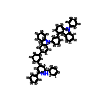 C1=CCC(C2C=C(C3=CC(C4C=Cc5c(c6c(n5-c5cccc(-c7cccc8c7c7ccccc7n8-c7ccccc7)c5)C=CCC6)C4)=CCC3)C=C(c3ccccc3)N2)C=C1